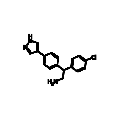 NCC(c1ccc(Cl)cc1)c1ccc(-c2cn[nH]c2)cc1